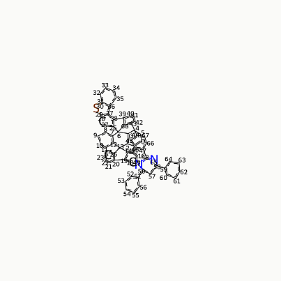 C1=CC2=C(CC1)C1(c3ccccc3C23c2ccccc2-c2ccccc23)c2ccc3sc4ccccc4c3c2-c2cccc(-c3ccc(-c4nc(-c5ccccc5)cc(-c5ccccc5)n4)cc3)c21